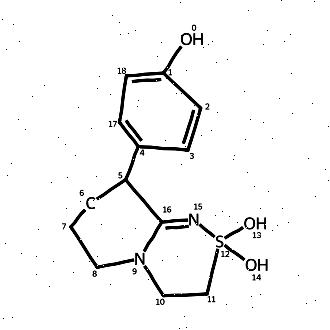 Oc1ccc(C2CCCN3CCS(O)(O)N=C23)cc1